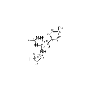 Cc1nnc([C@H](C)c2ccc(F)cc2)c(N[C@@H]2CCNC2)n1